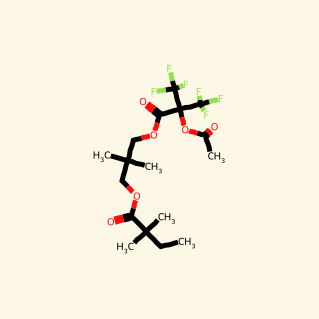 CCC(C)(C)C(=O)OCC(C)(C)COC(=O)C(OC(C)=O)(C(F)(F)F)C(F)(F)F